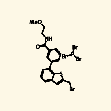 BrP(Br)Br.COCCNC(=O)c1cccc(-c2cccc3cc(CBr)sc23)c1